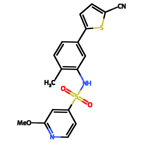 COc1cc(S(=O)(=O)Nc2cc(-c3ccc(C#N)s3)ccc2C)ccn1